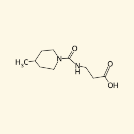 CC1CCN(C(=O)NCCC(=O)O)CC1